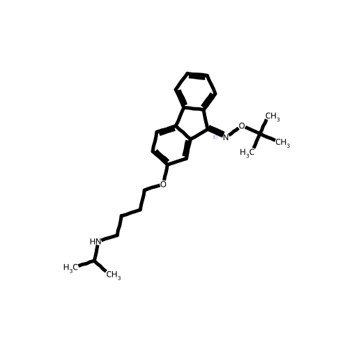 CC(C)NCCCCOc1ccc2c(c1)/C(=N/OC(C)(C)C)c1ccccc1-2